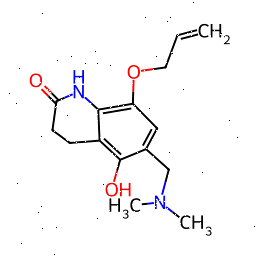 C=CCOc1cc(CN(C)C)c(O)c2c1NC(=O)CC2